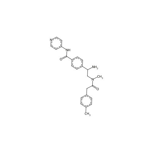 Cc1ccc(CC(=O)N(C)CC(N)c2ccc(C(=O)Nc3ccncc3)cc2)cc1